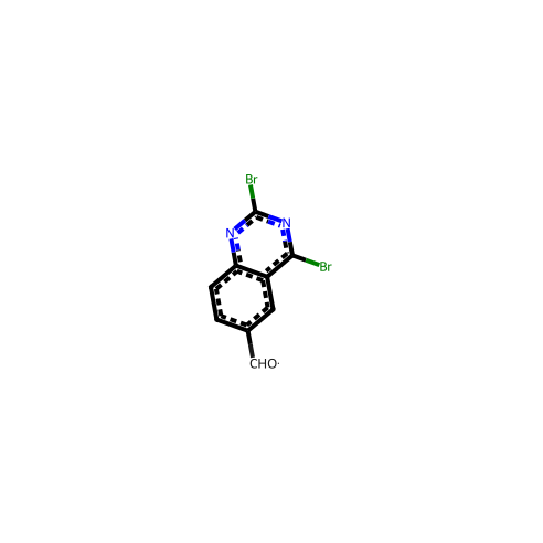 O=[C]c1ccc2nc(Br)nc(Br)c2c1